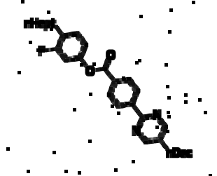 CCCCCCCCCCc1cnc(-c2ccc(C(=O)Oc3ccc(CCCCCCC)c(F)c3)cc2)nc1